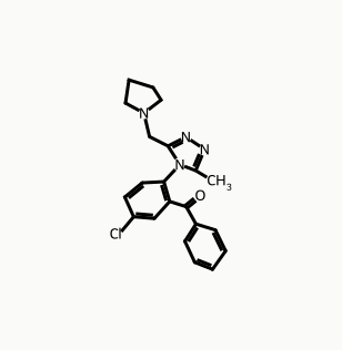 Cc1nnc(CN2CCCC2)n1-c1ccc(Cl)cc1C(=O)c1ccccc1